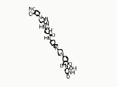 N#Cc1ccc(N2CCc3c(ncnc3Nc3ccc(C(=O)NC4CCC5(CC4)CN(C4CCN(c6ccc7c(c6)C(=O)N(C6CCC(=O)NC6O)C7=O)CC4)C5)c(F)n3)C2)cc1Cl